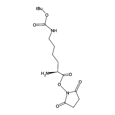 CC(C)(C)OC(=O)NCCCC[C@H](N)C(=O)ON1C(=O)CCC1=O